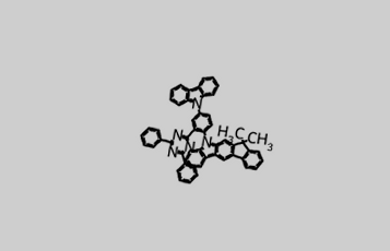 CC1(C)c2ccccc2-c2cc3c4ccccc4n(-c4ccc(-n5c6ccccc6c6ccccc65)cc4-c4nc(-c5ccccc5)nc(-c5ccccc5)n4)c3cc21